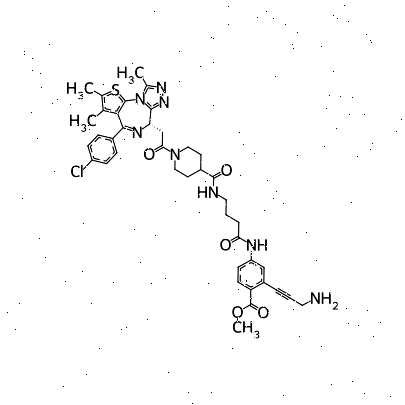 COC(=O)c1ccc(NC(=O)CCCNC(=O)C2CCN(C(=O)C[C@@H]3N=C(c4ccc(Cl)cc4)c4c(sc(C)c4C)-n4c(C)nnc43)CC2)cc1C#CCN